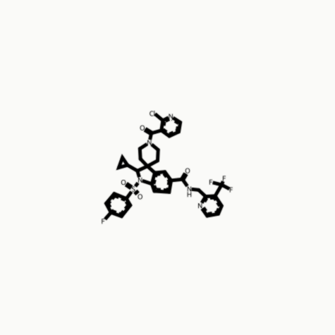 O=C(NCc1ncccc1C(F)(F)F)c1ccc2c(c1)C1(CCN(C(=O)c3cccnc3Cl)CC1)C(C1CC1)N2S(=O)(=O)c1ccc(F)cc1